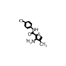 Cc1csc(C(=O)Nc2ccc(Cl)cc2)c1N